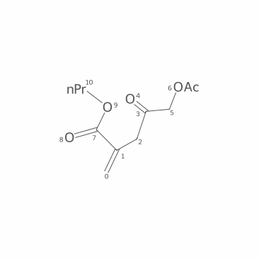 C=C(CC(=O)COC(C)=O)C(=O)OCCC